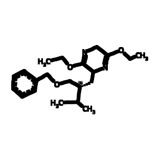 CCOC1=NC(C[C@@H](COCc2ccccc2)C(C)C)C(OCC)=NC1